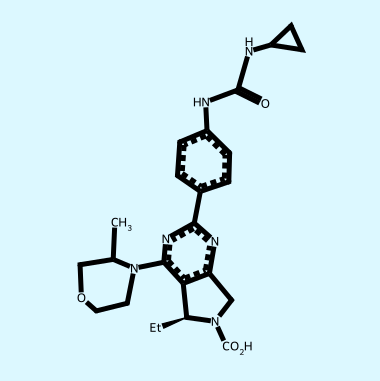 CC[C@H]1c2c(nc(-c3ccc(NC(=O)NC4CC4)cc3)nc2N2CCOCC2C)CN1C(=O)O